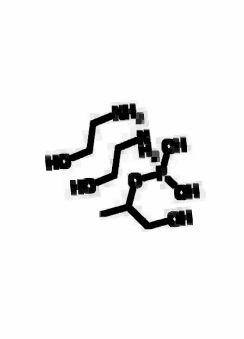 CC(CO)OP(O)O.NCCO.NCCO